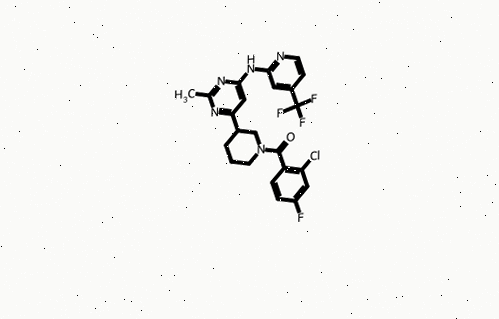 Cc1nc(Nc2cc(C(F)(F)F)ccn2)cc(C2CCCN(C(=O)c3ccc(F)cc3Cl)C2)n1